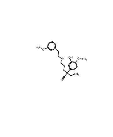 CCC(C#N)(CCCNCCc1cccc(OC)c1)c1ccc(OC)c(O)c1